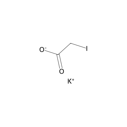 O=C([O-])CI.[K+]